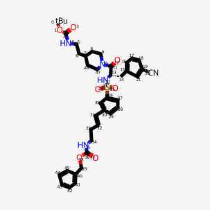 CC(C)(C)OC(=O)NCCC1CCN(C(=O)[C@H](Cc2cccc(C#N)c2)NS(=O)(=O)c2cccc(/C=C/CCNC(=O)OCc3ccccc3)c2)CC1